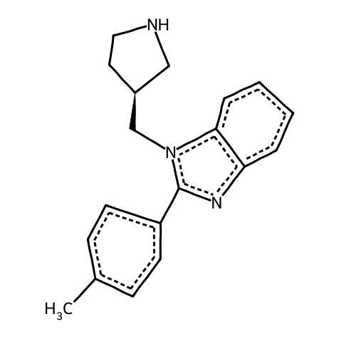 Cc1ccc(-c2nc3ccccc3n2C[C@H]2CCNC2)cc1